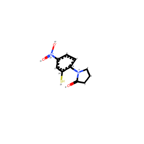 O=C1CCCN1c1ccc([N+](=O)[O-])cc1S